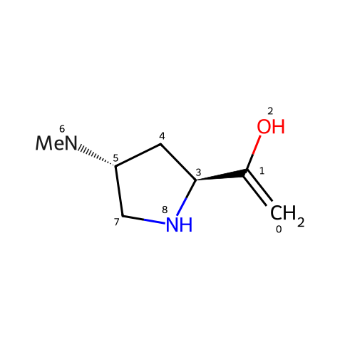 C=C(O)[C@@H]1C[C@@H](NC)CN1